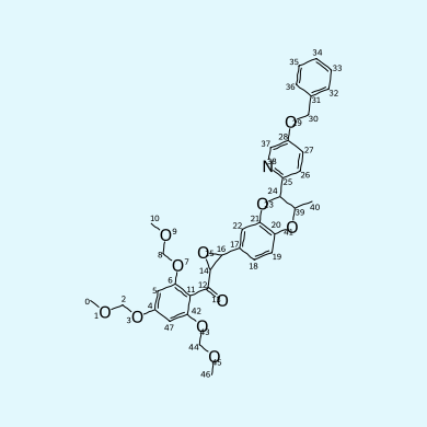 COCOc1cc(OCOC)c(C(=O)C2OC2c2ccc3c(c2)OC(c2ccc(OCc4ccccc4)cn2)C(C)O3)c(OCOC)c1